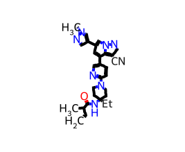 C=CC(C)C(=O)NC1(CC)CCN(c2ccc(-c3cc(-c4cnn(C)c4)cn4ncc(C#N)c34)cn2)CC1